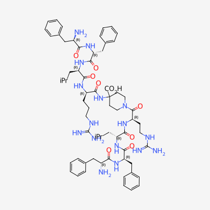 CC(C)C[C@@H](NC(=O)[C@@H](Cc1ccccc1)NC(=O)[C@H](N)Cc1ccccc1)C(=O)N[C@H](CCCNC(=N)N)C(=O)NC1(C(=O)O)CCN(C(=O)[C@@H](CCNC(=N)N)NC(=O)[C@@H](CC(C)C)NC(=O)[C@@H](Cc2ccccc2)NC(=O)[C@H](N)Cc2ccccc2)CC1